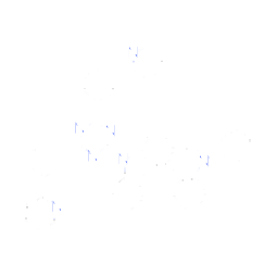 c1ccc(-c2cccc(-c3nc(-c4cccc(-c5ccccn5)c4)nc(-n4c5ccccc5c5c6c7ccccc7n7c8ccccc8cc7c6ccc54)n3)c2)nc1